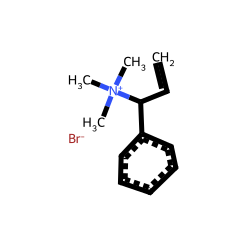 C=CC(c1ccccc1)[N+](C)(C)C.[Br-]